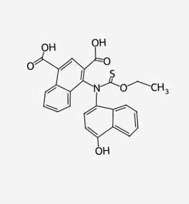 CCOC(=S)N(c1ccc(O)c2ccccc12)c1c(C(=O)O)cc(C(=O)O)c2ccccc12